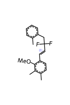 COc1c(/C=C/C(F)(F)Cc2ccccc2C)ccc(C)c1C